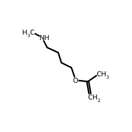 C=C(C)OCCCCNC